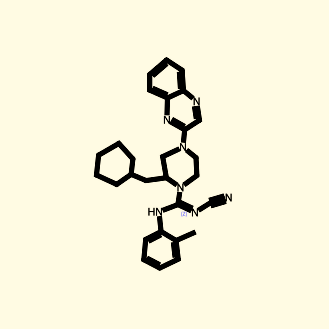 Cc1ccccc1N/C(=N/C#N)N1CCN(c2cnc3ccccc3n2)CC1CC1CCCCC1